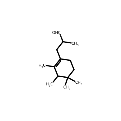 CC1=C(CC(C)C=O)CCC(C)(C)C1C